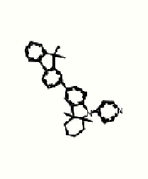 CC1(C)c2ccccc2-c2ccc(-c3ccc4c(c3)C3(C)CCCCC3(C)N4c3ccncc3)cc21